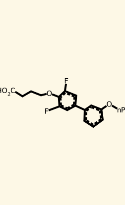 CCCOc1cccc(-c2cc(F)c(OCCCC(=O)O)c(F)c2)c1